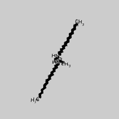 CCCCCCCCCCCCCCCCCCNC(CC)OC(CC)NCCCCCCCCCCCCCCCCCC